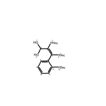 CCCCCCCCCCC(=C(CCCCCC)C(O)O)c1ccccc1CCCCCCCCCC